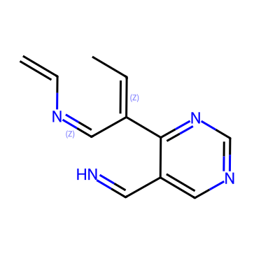 C=C/N=C\C(=C/C)c1ncncc1C=N